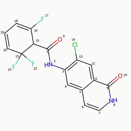 O=C(Nc1cc2cc[nH]c(=O)c2cc1Cl)C1C(F)=CC=CC1(F)F